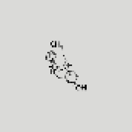 CC1=C2CC[C@H]3[C@@H](CCC4=C[C@@H](O)C=C[C@@]43C)[C@@H]2CC1